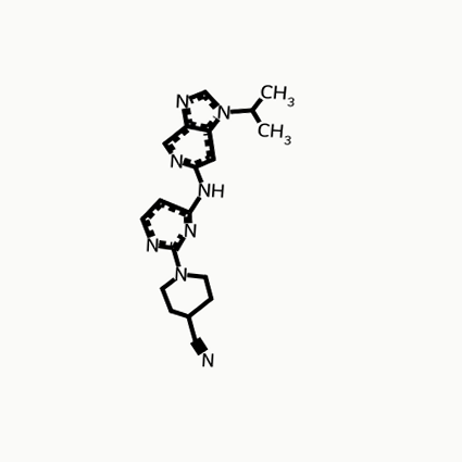 CC(C)n1cnc2cnc(Nc3ccnc(N4CCC(C#N)CC4)n3)cc21